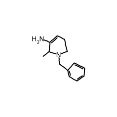 CC1C(N)=CCCN1Cc1ccccc1